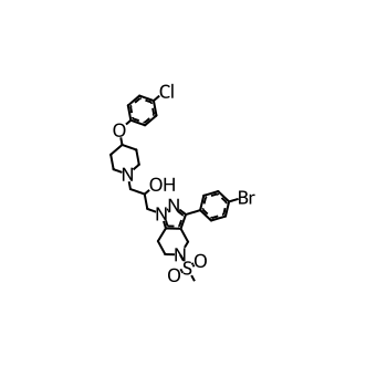 CS(=O)(=O)N1CCc2c(c(-c3ccc(Br)cc3)nn2CC(O)CN2CCC(Oc3ccc(Cl)cc3)CC2)C1